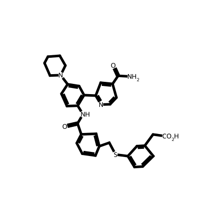 NC(=O)c1ccnc(-c2cc(N3CCCCC3)ccc2NC(=O)c2cccc(CSc3cccc(CC(=O)O)c3)c2)c1